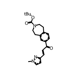 Cn1ccc(/C=C/C(=O)c2ccc3c(c2)CCN(C(=O)OC(C)(C)C)CC3)n1